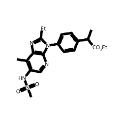 CCOC(=O)C(C)c1ccc(-n2c(CC)nc3c(C)c(NS(C)(=O)=O)cnc32)cc1